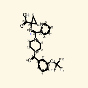 O=C(c1cccc(OC(F)(F)F)c1)N1CCN(/C(=N/C2(C(=O)O)CC2)c2ccccn2)CC1